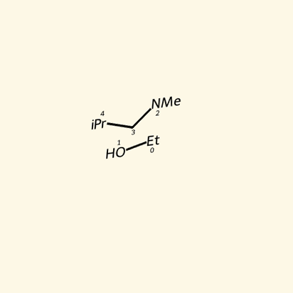 CCO.CNCC(C)C